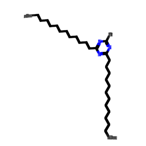 [CH2]Cc1nc(CCCCCCCCCCCCCCCCCCCCCC)nc(CCCCCCCCCCCCCCCCCCCCCC)n1